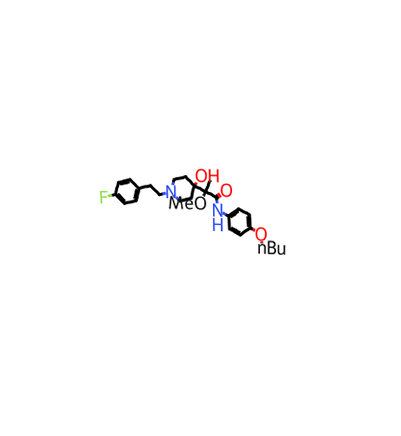 CCCCOc1ccc(NC(=O)C(C)(OC)C2(O)CCN(CCc3ccc(F)cc3)CC2)cc1